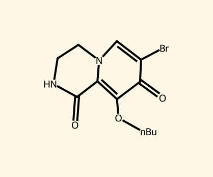 CCCCOc1c2n(cc(Br)c1=O)CCNC2=O